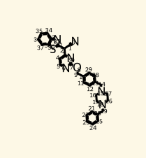 N#CC(c1ccnc(OCc2ccc(CN3CCN(Cc4ccccc4)CC3)cc2)n1)c1nc2ccccc2s1